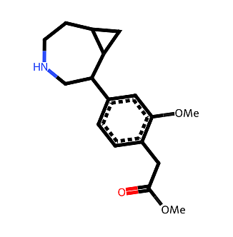 COC(=O)Cc1ccc(C2CNCCC3CC32)cc1OC